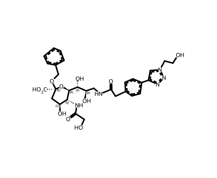 O=C(Cc1ccc(-c2cn(CCO)nn2)cc1)NC[C@@H](O)[C@@H](O)[C@@H]1O[C@@](OCc2ccccc2)(C(=O)O)C[C@H](O)[C@H]1NC(=O)CO